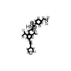 CC(C)c1cc(C#CC2CCOCC2)cc(C(C)C)c1CC(=O)NS(=O)(=O)c1ccc(CN(C)C)cc1